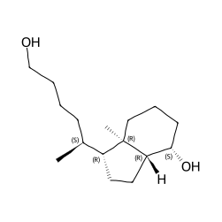 C[C@@H](CCCCO)[C@H]1CC[C@H]2[C@@H](O)CCC[C@]12C